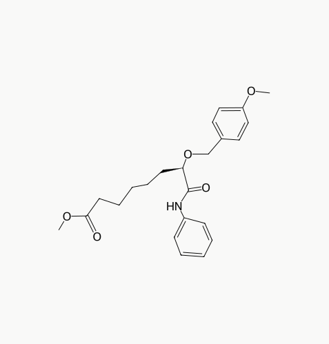 COC(=O)CCCCC[C@@H](OCc1ccc(OC)cc1)C(=O)Nc1ccccc1